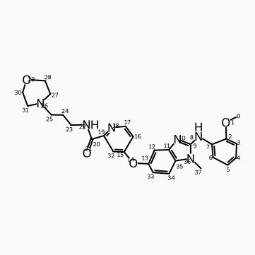 COc1ccccc1Nc1nc2cc(Oc3ccnc(C(=O)NCCCN4CCOCC4)c3)ccc2n1C